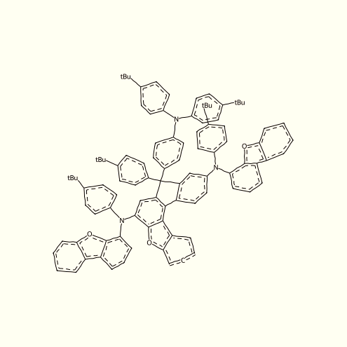 CC(C)(C)c1ccc(N(c2ccc(C(C)(C)C)cc2)c2ccc(C3(c4ccc(C(C)(C)C)cc4)c4cc(N(c5ccc(C(C)(C)C)cc5)c5cccc6c5oc5ccccc56)ccc4-c4c3cc(N(c3ccc(C(C)(C)C)cc3)c3cccc5c3oc3ccccc35)c3oc5ccccc5c43)cc2)cc1